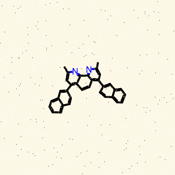 Cc1cc(-c2ccc3ccccc3c2)c2ccc3c(-c4ccc5ccccc5c4)cc(C)nc3c2n1